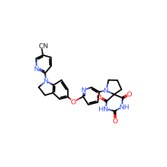 N#Cc1ccc(N2CCc3cc(Oc4ccc(N5CCCC56C(=O)NC(=O)NC6=O)cn4)ccc32)nc1